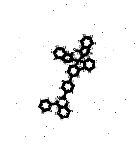 c1ccc(-c2nc(-c3ccc(-c4ccc5c(c4)-c4ccccc4C54c5ccc6ccccc6c5Sc5c4ccc4ccccc54)cc3)nc3ccccc23)cc1